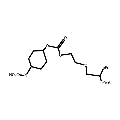 CCCCCC(CCC)COCCOC(=O)OC1CCC(OC(=O)O)CC1